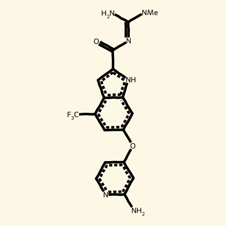 CNC(N)=NC(=O)c1cc2c(C(F)(F)F)cc(Oc3ccnc(N)c3)cc2[nH]1